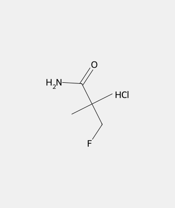 CC(C)(CF)C(N)=O.Cl